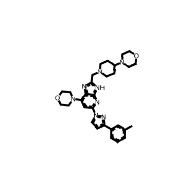 Cc1cccc(-c2ccn(-c3cc(N4CCOCC4)c4nc(CN5CCC(N6CCOCC6)CC5)[nH]c4n3)n2)c1